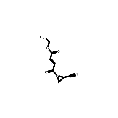 CCOC(=O)/C=C/C(=O)N1CC1C#N